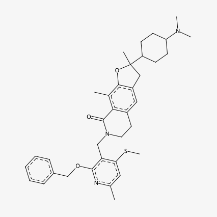 CSc1cc(C)nc(OCc2ccccc2)c1CN1CCc2cc3c(c(C)c2C1=O)OC(C)(C1CCC(N(C)C)CC1)C3